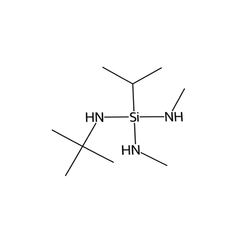 CN[Si](NC)(NC(C)(C)C)C(C)C